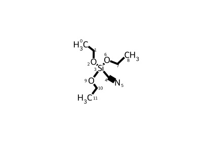 CCO[Si](C#N)(OCC)OCC